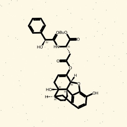 CC(C)COC(=O)[C@H](CC(=O)OC1=CC[C@@]2(O)[C@@H]3CCC[C@@]24c2c(ccc(O)c2O[C@@H]14)C3)NC(=O)[C@@H](O)c1ccccc1